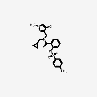 Cc1ccc(S(=O)(=O)Nc2ccccc2C(=O)N(Cc2nn(C)cc2Cl)CC2CC2)cc1